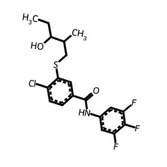 CCC(O)C(C)CSc1cc(C(=O)Nc2cc(F)c(F)c(F)c2)ccc1Cl